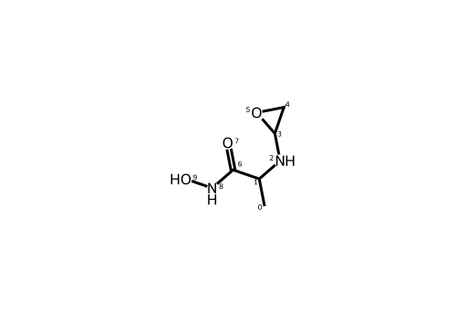 CC(NC1CO1)C(=O)NO